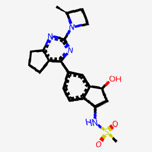 C[C@H]1CCN1c1nc2c(c(-c3ccc4c(c3)C(O)CC4NS(C)(=O)=O)n1)CCC2